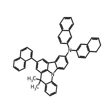 CC1(C)c2ccccc2-n2c3ccc(N(c4ccc5c(c4)C=CCC5)c4ccc5ccccc5c4)cc3c3cc(-c4cccc5ccccc45)cc1c32